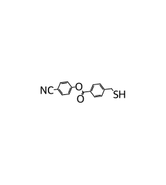 N#Cc1ccc(OC(=O)c2ccc(CS)cc2)cc1